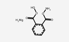 NOC(=O)c1ccccc1C(=O)OO.[MgH2]